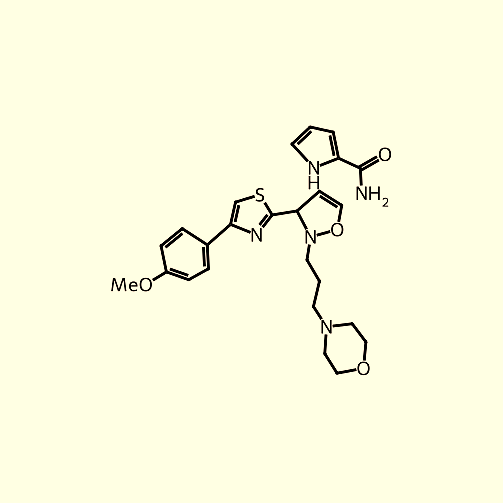 COc1ccc(-c2csc(C3C=CON3CCCN3CCOCC3)n2)cc1.NC(=O)c1ccc[nH]1